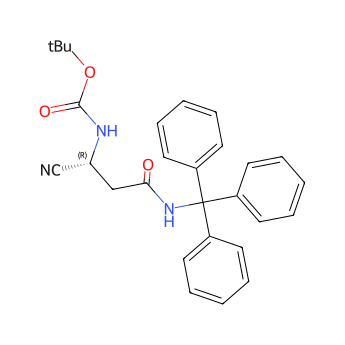 CC(C)(C)OC(=O)N[C@@H](C#N)CC(=O)NC(c1ccccc1)(c1ccccc1)c1ccccc1